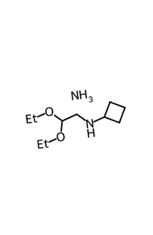 CCOC(CNC1CCC1)OCC.N